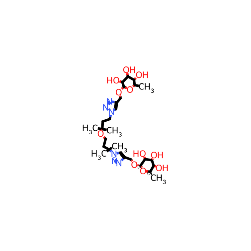 CC1OC(OCc2cn(CCC(C)(C)OCCC(C)(C)n3cc(CO[C@@H]4O[C@@H](C)C(O)C(O)C4O)nn3)nn2)C(O)C(O)C1O